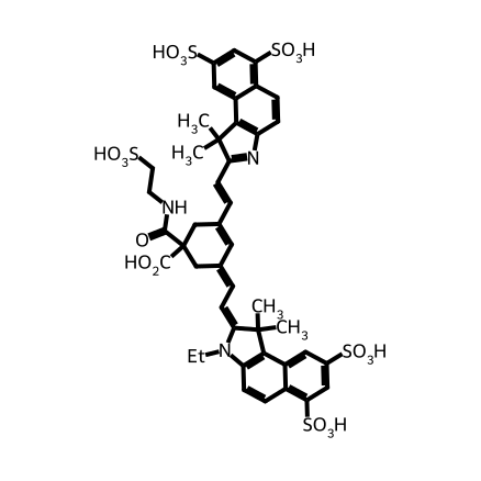 CCN1/C(=C/C=C2C=C(/C=C/C3=Nc4ccc5c(S(=O)(=O)O)cc(S(=O)(=O)O)cc5c4C3(C)C)CC(C(=O)O)(C(=O)NCCS(=O)(=O)O)C/2)C(C)(C)c2c1ccc1c(S(=O)(=O)O)cc(S(=O)(=O)O)cc21